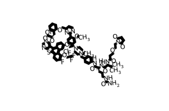 COc1ccccc1-c1nccc(COc2ccccc2C[C@@H](Oc2ncnc3sc4c5ccc(F)c(OCC(F)(F)F)c5c5c(Cl)c(OCCN6CC[N+](C)(Cc7ccc(NC(=O)[C@H](CCCNC(N)=O)NC(=O)[C@@H](NC(=O)CCOCCN8C(=O)C=CC8=O)C(C)C)cc7)CC6)ccc5c4c23)C(=O)O)n1